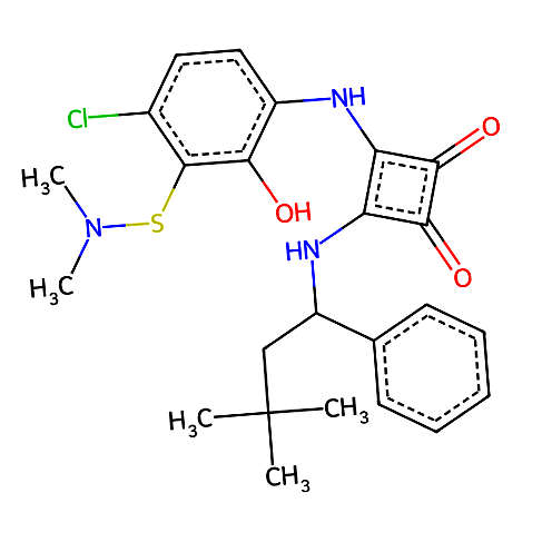 CN(C)Sc1c(Cl)ccc(Nc2c(NC(CC(C)(C)C)c3ccccc3)c(=O)c2=O)c1O